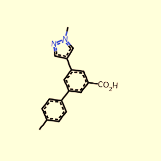 Cc1ccc(-c2cc(C(=O)O)cc(-c3cnn(C)c3)c2)cc1